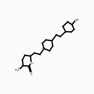 CCCC1CCC(CCC2CCC(CCC3CCC(C)C(=O)O3)CC2)CC1